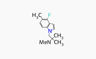 CNC(C)(C)Cn1ccc2c(F)c(C)ccc21